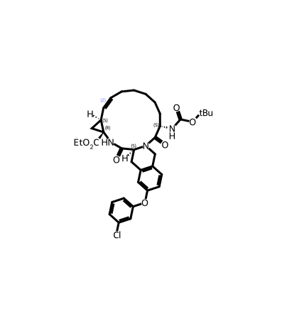 CCOC(=O)[C@@]12C[C@H]1/C=C\CCCCC[C@H](NC(=O)OC(C)(C)C)C(=O)N1Cc3ccc(Oc4cccc(Cl)c4)cc3C[C@H]1C(=O)N2